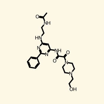 CC(=O)NCCNc1cc(NC(=O)C(=O)N2CCN(CCO)CC2)nc(-c2ccccc2)n1